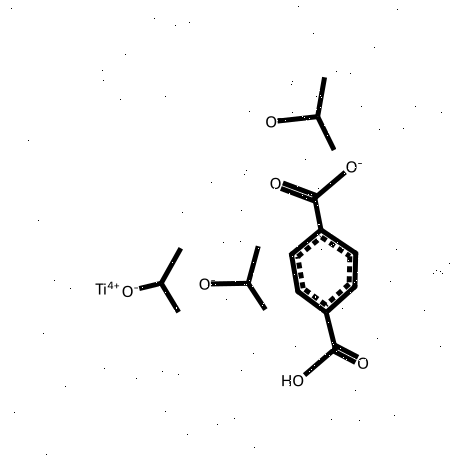 CC(C)[O-].CC(C)[O-].CC(C)[O-].O=C([O-])c1ccc(C(=O)O)cc1.[Ti+4]